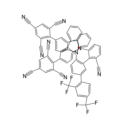 N#Cc1cc(C#N)c(-c2ccc3c(c2)c2ccccc2n3-c2ccc(-c3ccc(C(F)(F)F)cc3C(F)(F)F)cc2-c2c(C#N)cccc2-n2c3ccccc3c3cc(-c4c(C#N)cc(C#N)cc4C#N)ccc32)c(C#N)c1